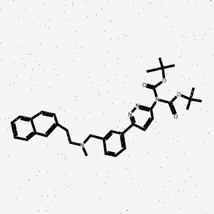 CN(CCc1ccc2ccccc2c1)Cc1cccc(-c2ccc(N(C(=O)OC(C)(C)C)C(=O)OC(C)(C)C)nn2)c1